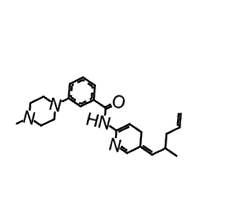 C=CCC(C)/C=C1/C=NC(NC(=O)c2cccc(N3CCN(C)CC3)c2)=CC1